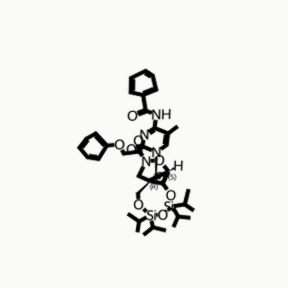 Cc1cn([C@@H]2O[C@]34CO[Si](C(C)C)(C(C)C)O[Si](C(C)C)(C(C)C)OC3[C@@H]2ON(C(=O)COc2ccccc2)C4)c(=O)nc1NC(=O)c1ccccc1